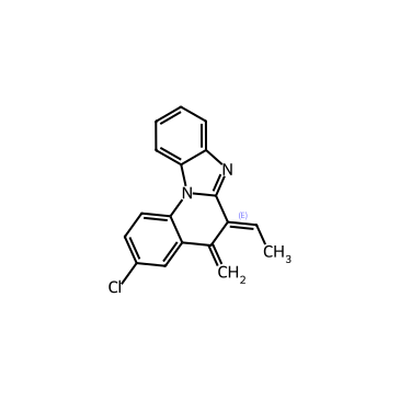 C=c1/c(=C\C)c2nc3ccccc3n2c2ccc(Cl)cc12